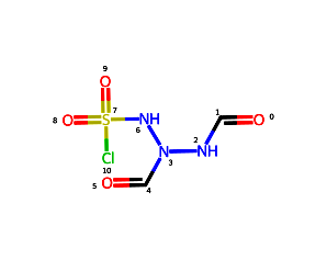 O=CNN(C=O)NS(=O)(=O)Cl